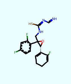 N=C/N=C(/S)NCC1(c2ccc(F)cc2F)O[C@@H]1C1=CCCC=C1F